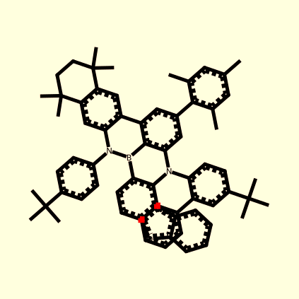 Cc1cc(C)c(-c2cc3c4c(c2)N(c2ccc(C(C)(C)C)cc2-c2ccccc2)c2c(ccc5oc6ccccc6c25)B4N(c2ccc(C(C)(C)C)cc2)c2cc4c(cc2-3)C(C)(C)CCC4(C)C)c(C)c1